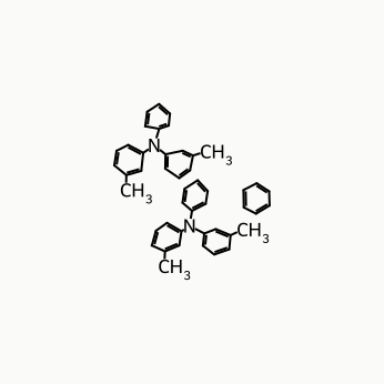 Cc1cccc(N(c2ccccc2)c2cccc(C)c2)c1.Cc1cccc(N(c2ccccc2)c2cccc(C)c2)c1.c1ccccc1